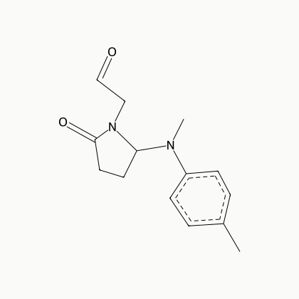 Cc1ccc(N(C)C2CCC(=O)N2CC=O)cc1